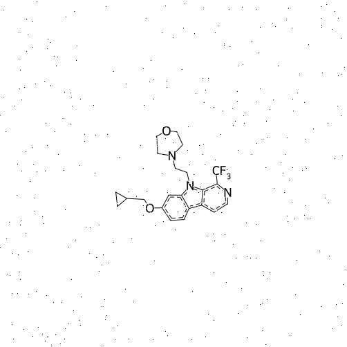 FC(F)(F)c1nccc2c3ccc(OCC4CC4)cc3n(CCN3CCOCC3)c12